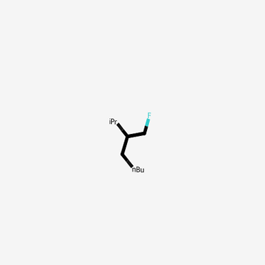 CCCCCC(CF)C(C)C